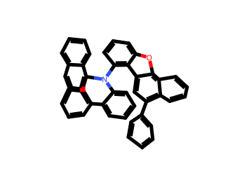 c1ccc(-c2ccccc2N(c2cccc3ccccc23)c2cccc3oc4c5ccccc5c(-c5ccccc5)cc4c23)cc1